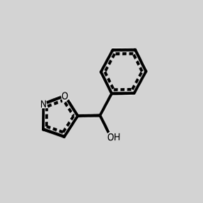 OC(c1ccccc1)c1ccno1